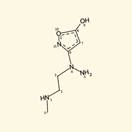 CNCCN(N)c1cc(O)on1